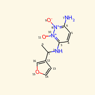 CC(Nc1ccc(N)[n+]([O-])[n+]1[O-])c1ccoc1